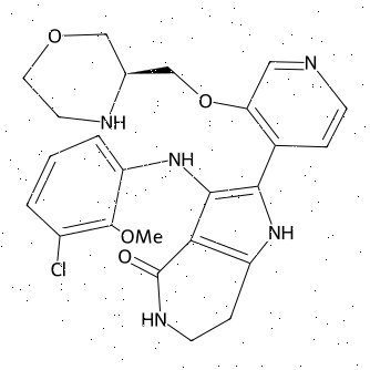 COc1c(Cl)cccc1Nc1c(-c2ccncc2OC[C@@H]2COCCN2)[nH]c2c1C(=O)NCC2